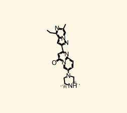 CCc1nc(C)cn2nc(-c3cc(=O)n4cc(N5C[C@@H](C)N[C@@H](C)C5)ccc4n3)cc12